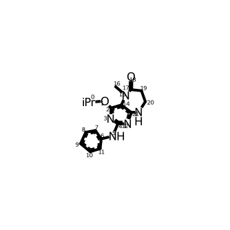 CC(C)Oc1nc(Nc2ccccc2)nc2c1N(C)C(=O)CCN2